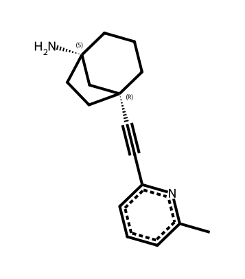 Cc1cccc(C#C[C@]23CCC[C@](N)(CC2)C3)n1